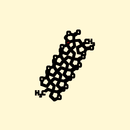 CCC1(CC2(CC3(CC4(CC5(CC6(CC7(CC8(CC9(CC%10(C)CCOC%10=O)CCOC9=O)CCOC8=O)CCOC7=O)CCOC6=O)CCOC5=O)CCOC4=O)CCOC3=O)CCOC2=O)CCOC1=O